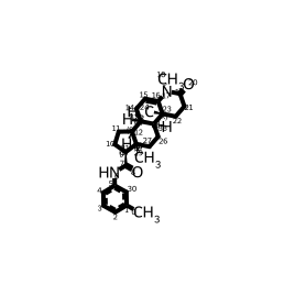 Cc1cccc(NC(=O)[C@H]2CC[C@H]3[C@@H]4CC=C5N(C)C(=O)CC[C@]5(C)[C@H]4CC[C@]23C)c1